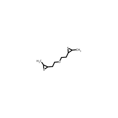 CC1SC1CCOCCC1SC1C